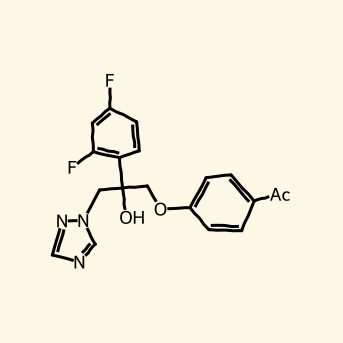 CC(=O)c1ccc(OCC(O)(Cn2cncn2)c2ccc(F)cc2F)cc1